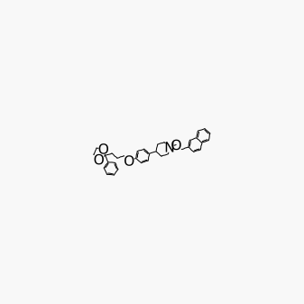 c1ccc(C2(CCCOc3ccc(C4CCN(OCc5ccc6ccccc6c5)CC4)cc3)OCCO2)cc1